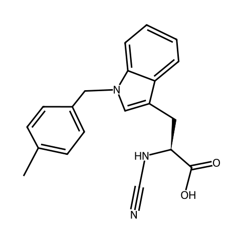 Cc1ccc(Cn2cc(C[C@H](NC#N)C(=O)O)c3ccccc32)cc1